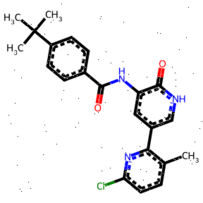 Cc1ccc(Cl)nc1-c1c[nH]c(=O)c(NC(=O)c2ccc(C(C)(C)C)cc2)c1